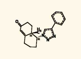 C[C@]12CCC(=O)C=C1CCC[C@H]2n1cc(-c2ccccc2)nn1